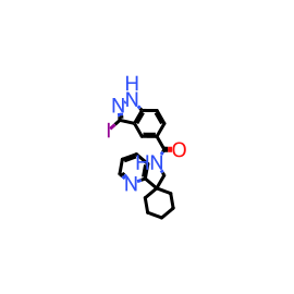 O=C(NCC1(c2ccccn2)CCCCC1)c1ccc2[nH]nc(I)c2c1